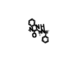 C[C@@H](N[C@H](C)c1nc2ccccc2n(C)c1=O)c1ccccc1